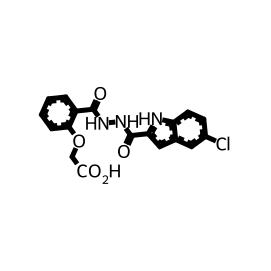 O=C(O)COc1ccccc1C(=O)NNC(=O)c1cc2cc(Cl)ccc2[nH]1